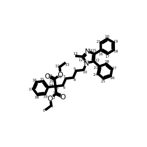 CCOC(=O)C(CCCCCn1c(C)nc(-c2ccccc2)c1-c1ccccc1)(C(=O)OCC)c1ccccc1